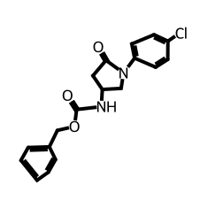 O=C(NC1CC(=O)N(c2ccc(Cl)cc2)C1)OCc1ccccc1